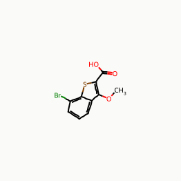 COc1c(C(=O)O)sc2c(Br)cccc12